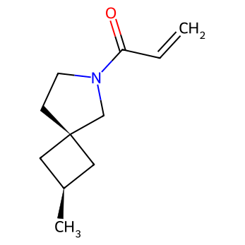 C=CC(=O)N1CC[C@]2(C1)C[C@H](C)C2